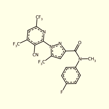 CN(C(=O)c1cc(C(F)(F)F)n(-c2nc(C(F)(F)F)cc(C(F)(F)F)c2C#N)n1)c1ccc(F)cc1